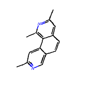 Cc1cc2c(ccc3cc(C)nc(C)c32)cn1